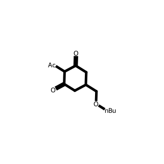 CCCCOCC1CC(=O)C(C(C)=O)C(=O)C1